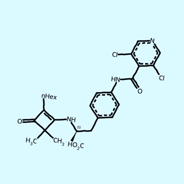 CCCCCCC1=C(N[C@@H](Cc2ccc(NC(=O)c3c(Cl)cncc3Cl)cc2)C(=O)O)C(C)(C)C1=O